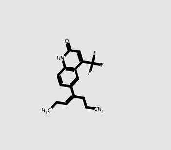 CC/C=C(/CCC)c1ccc2[nH]c(=O)cc(C(F)(F)F)c2c1